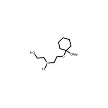 CCN(CCO)CCOC1(OC)CCCCC1